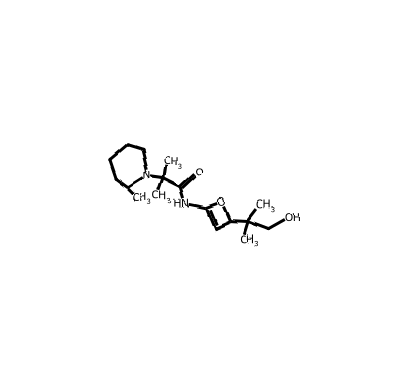 CC1CCCCN1C(C)(C)C(=O)NC1=CC(C(C)(C)CO)O1